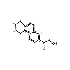 CC(CO)c1ccc2c3c(cnc2c1)CCCC3